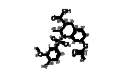 COc1cc(S(=O)(=O)N2c3cc(OC(C)=O)ccc3CC(C(=O)O)C2C)ccc1F